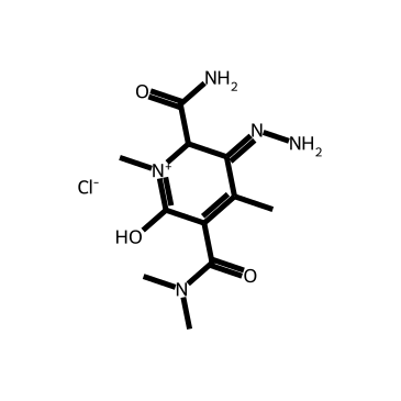 CC1=C(C(=O)N(C)C)C(O)=[N+](C)C(C(N)=O)C1=NN.[Cl-]